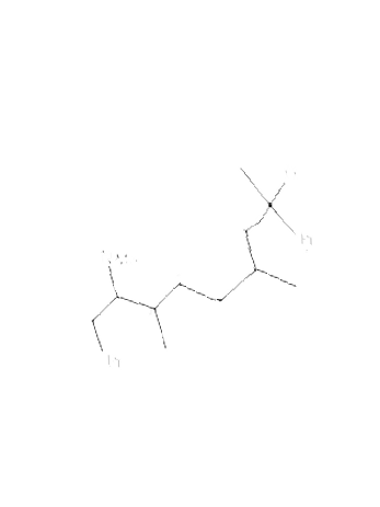 CNC(CC(C)C)C(C)CCC(C)CC(C)(O)C(C)C